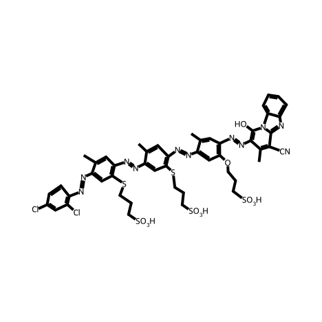 Cc1cc(N=Nc2cc(SCCCS(=O)(=O)O)c(N=Nc3cc(OCCCS(=O)(=O)O)c(N=Nc4c(C)c(C#N)c5nc6ccccc6n5c4O)cc3C)cc2C)c(SCCCS(=O)(=O)O)cc1N=Nc1ccc(Cl)cc1Cl